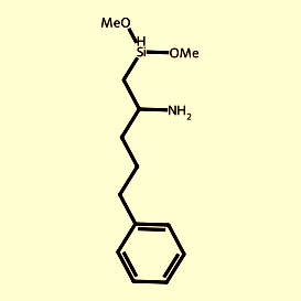 CO[SiH](CC(N)CCCc1ccccc1)OC